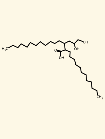 CCCCCCCCCCCCC(CC(O)CO)C(CCCCCCCCCCCC)C(=O)O